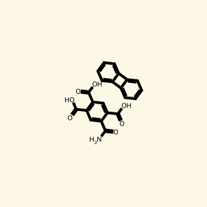 NC(=O)c1cc(C(=O)O)c(C(=O)O)cc1C(=O)O.c1ccc2c(c1)-c1ccccc1-2